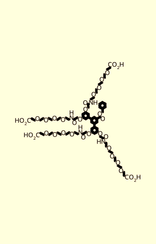 O=C(O)CCOCCOCCOCCOCCNC(=O)COc1cc(OCC(=O)NCCOCCOCCOCCOCCC(=O)O)cc(-c2cc(C(=O)OCc3ccccc3)cc(-c3cc(OCC(=O)NCCOCCOCCOCCOCCC(=O)O)cc(OCC(=O)NCCOCCOCCOCCOCCC(=O)O)c3)c2)c1